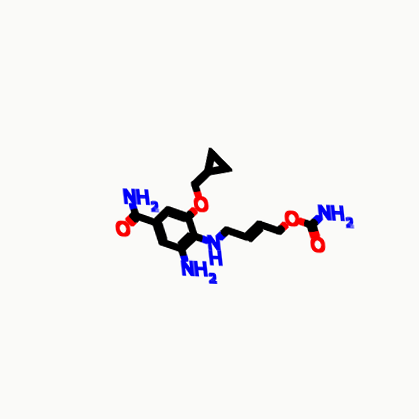 NC(=O)OCC=CCNc1c(N)cc(C(N)=O)cc1OCC1CC1